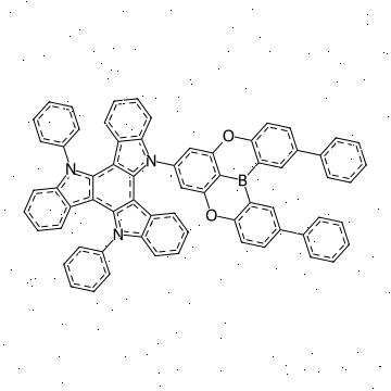 c1ccc(-c2ccc3c(c2)B2c4cc(-c5ccccc5)ccc4Oc4cc(-n5c6ccccc6c6c7c(c8ccccc8n7-c7ccccc7)c7c(c8ccccc8n7-c7ccccc7)c65)cc(c42)O3)cc1